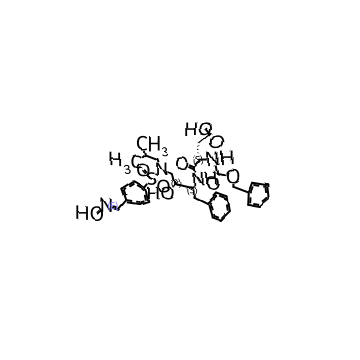 CC(C)CN(C[C@@H](O)[C@H](Cc1ccccc1)NC(=O)[C@H](CC(=O)O)NC(=O)OCc1ccccc1)S(=O)(=O)c1ccc(/C=N/O)cc1